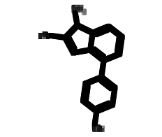 CCCC1=Cc2c(-c3ccc(C(C)(C)C)cc3)cccc2C1[SiH3]